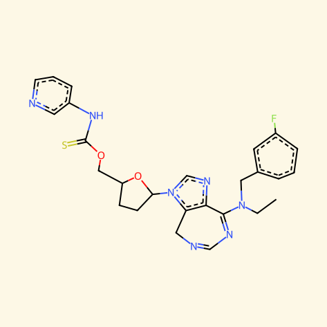 CCN(Cc1cccc(F)c1)C1=NC=NCc2c1ncn2C1CCC(COC(=S)Nc2cccnc2)O1